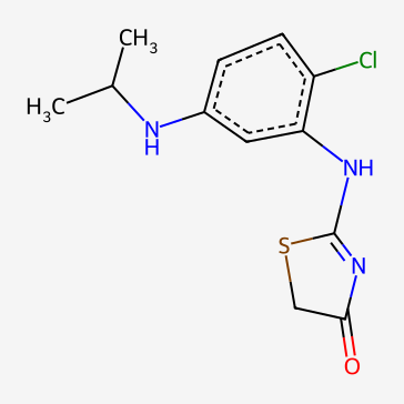 CC(C)Nc1ccc(Cl)c(NC2=NC(=O)CS2)c1